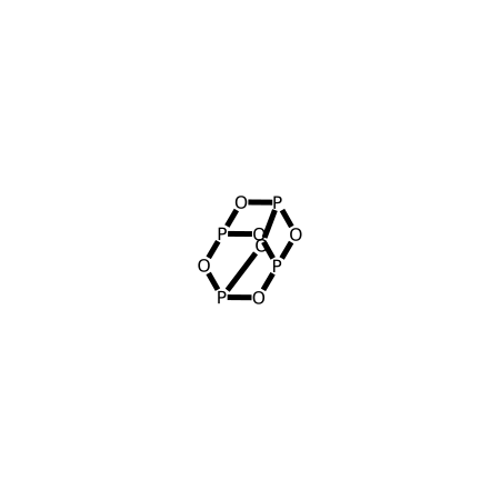 O1P2OP3OP1OP(O2)O3